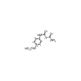 NC(=O)SC(=O)Nc1ccc(OC(=O)O)cc1